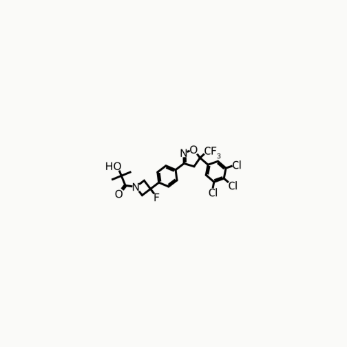 CC(C)(O)C(=O)N1CC(F)(c2ccc(C3=NOC(c4cc(Cl)c(Cl)c(Cl)c4)(C(F)(F)F)C3)cc2)C1